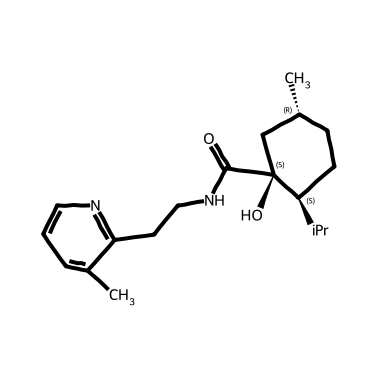 Cc1cccnc1CCNC(=O)[C@]1(O)C[C@H](C)CC[C@H]1C(C)C